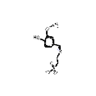 COc1cc(/C=N\CCS(=O)(=O)O)ccc1O